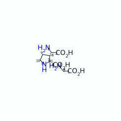 NCC(=O)O.NCC(=O)O.O=C(O)[C@H]1CCCN1